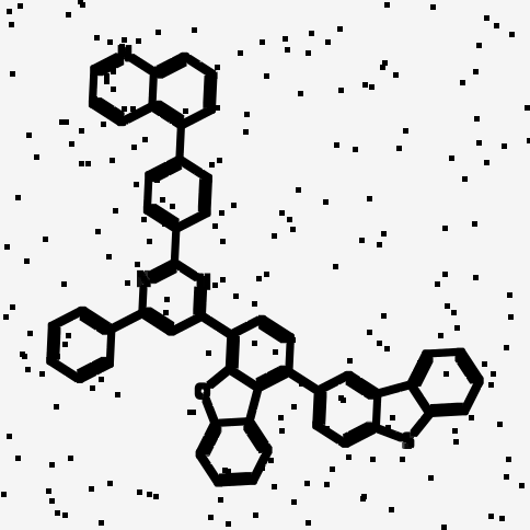 c1ccc(-c2cc(-c3ccc(-c4ccc5sc6ccccc6c5c4)c4c3oc3ccccc34)nc(-c3ccc(-c4cccc5ncccc45)cc3)n2)cc1